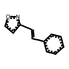 C(=Cc1ccon1)c1ccccc1